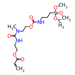 C=CC(=O)OCCNC(=O)N(C)CCOC(=O)NCCC[Si](OC)(OC)OC